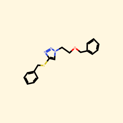 c1ccc(COCCn2cc(SCc3ccccc3)nn2)cc1